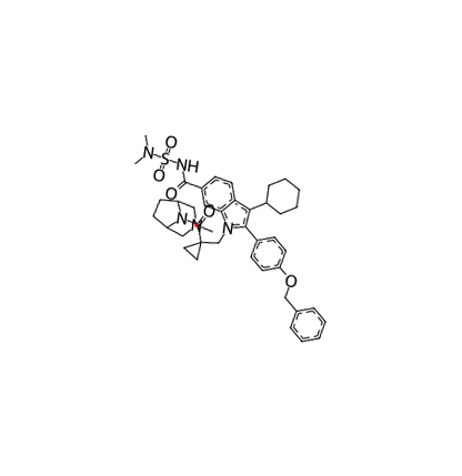 CN1CC2CCC(C1)N2C(=O)C1(Cn2c(-c3ccc(OCc4ccccc4)cc3)c(C3CCCCC3)c3ccc(C(=O)NS(=O)(=O)N(C)C)cc32)CC1